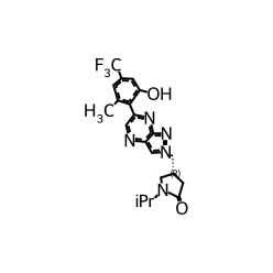 Cc1cc(C(F)(F)F)cc(O)c1-c1cnc2cn(C[C@@H]3CC(=O)N(C(C)C)C3)nc2n1